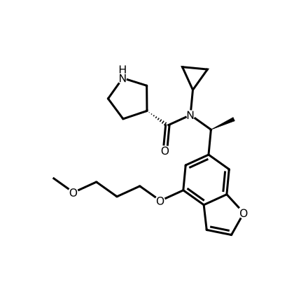 COCCCOc1cc([C@H](C)N(C(=O)[C@@H]2CCNC2)C2CC2)cc2occc12